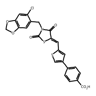 O=C(O)c1ccc(-c2csc(/C=C3\SC(=O)N(Cc4cc5c(cc4Cl)OCO5)C3=O)c2)cc1